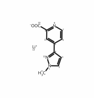 Cn1ccc(-c2ccnc(C(=O)[O-])c2)n1.[Li+]